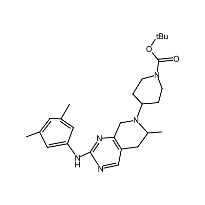 Cc1cc(C)cc(Nc2ncc3c(n2)CN(C2CCN(C(=O)OC(C)(C)C)CC2)C(C)C3)c1